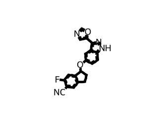 N#Cc1cc2c(cc1F)C(Oc1ccc3[nH]nc(-c4cnco4)c3c1)CC2